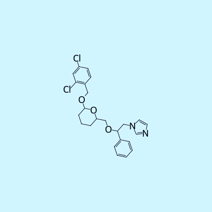 Clc1ccc(COC2CCCC(COC(Cn3ccnc3)c3ccccc3)O2)c(Cl)c1